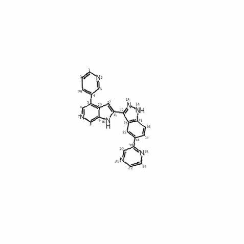 c1cncc(-c2cncc3[nH]c(-c4n[nH]c5ccc(-c6cnccn6)cc45)cc23)c1